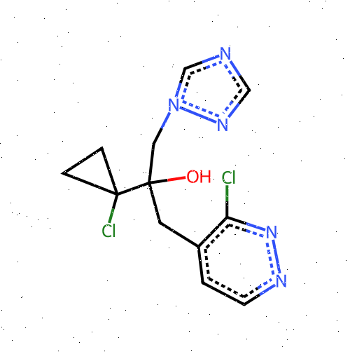 OC(Cc1ccnnc1Cl)(Cn1cncn1)C1(Cl)CC1